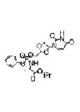 CC(C)OC(=O)[C@H](C)N[P@](=O)(OC[C@H]1OC[C@@H](n2ccc(=O)[nH]c2=O)O1)Oc1ccccc1